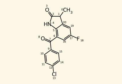 CC1C(=O)Nc2c(C(=O)c3ccc(Cl)cc3)cc(F)cc21